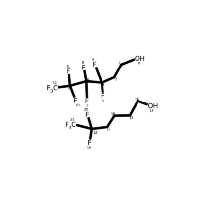 OCCC(F)(F)C(F)(F)C(F)(F)C(F)(F)F.OCCCCC(F)(F)C(F)(F)F